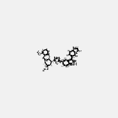 COc1cccc(F)c1CN1CC(OC)C[C@@H](c2nnc(-c3ccc4[nH]nc(-c5ccc6nccn6c5)c4c3)o2)C1